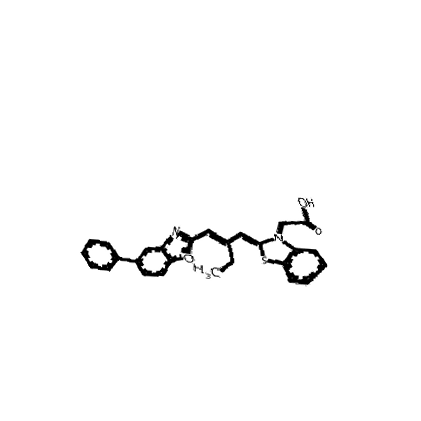 CCC(/C=C1\Sc2ccccc2N1CC(=O)O)=C\c1nc2cc(-c3ccccc3)ccc2o1